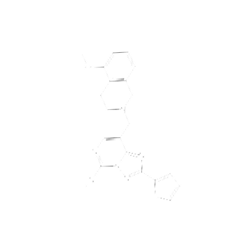 COc1cccc2c1CCN(Cc1cnc(N)n3nc(-c4ccco4)nc13)C2